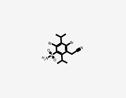 CC(C)c1c(Br)c(CC#N)c(C(C)C)c(S(N)(=O)=O)c1Br